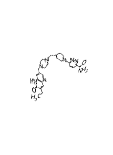 CCc1cc2ncc(CN3CCN(CC4CCN(c5ccc(C(N)=O)nn5)CC4)CC3)cc2[nH]c1=O